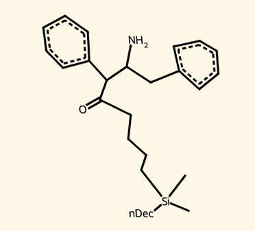 CCCCCCCCCC[Si](C)(C)CCCCC(=O)C(c1ccccc1)C(N)Cc1ccccc1